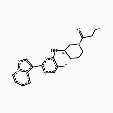 O=C(CO)N1CCC[C@@H](Nc2nc(-c3cnn4ccccc34)ncc2F)C1